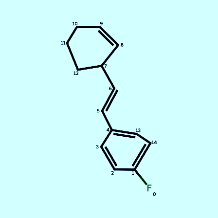 Fc1ccc(C=CC2C=CCCC2)cc1